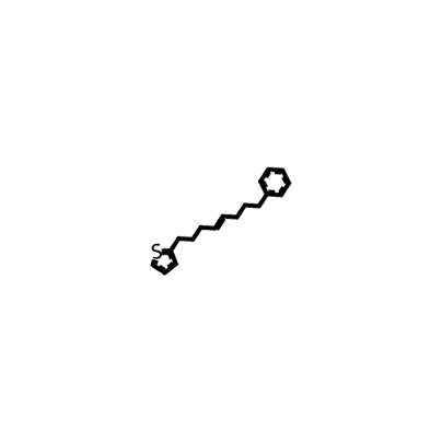 C(=CCCCc1cccs1)CCCc1ccccc1